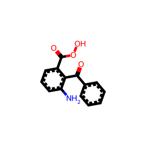 Nc1cccc(C(=O)OO)c1C(=O)c1ccccc1